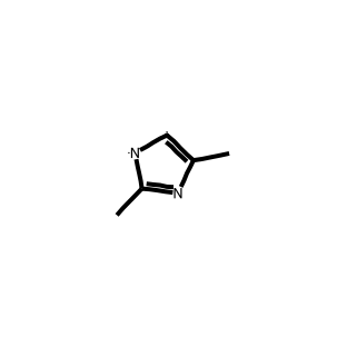 CC1=[C][N]C(C)=N1